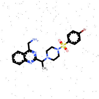 CC(c1nc(CN)c2ccccc2n1)N1CCN(S(=O)(=O)c2ccc(Br)cc2)CC1